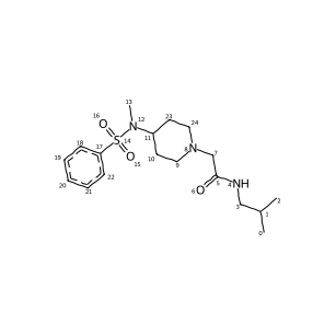 CC(C)CNC(=O)CN1CCC(N(C)S(=O)(=O)c2ccccc2)CC1